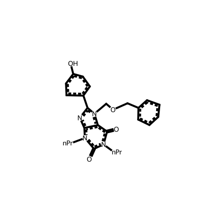 CCCn1c(=O)c2c(nc(-c3ccc(O)cc3)n2COCc2ccccc2)n(CCC)c1=O